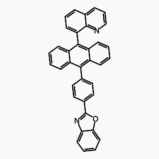 c1cnc2c(-c3c4ccccc4c(-c4ccc(-c5nc6ccccc6o5)cc4)c4ccccc34)cccc2c1